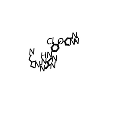 N#CCC1CCN(c2ncc3ncnc(Nc4ccc(Oc5ccn6ncnc6c5)c(Cl)c4)c3n2)C1